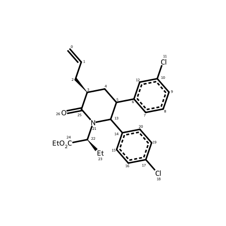 C=CC[C@H]1CC(c2cccc(Cl)c2)C(c2ccc(Cl)cc2)N([C@@H](CC)C(=O)OCC)C1=O